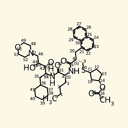 CCCC[C@H](NC(=O)[C@@H](CSC1CCC(OC(C)=O)C1)Cc1cccc2ccccc12)C(=O)N[C@@H](CC1CCCCC1)[C@@H](O)[C@@H](O)CN1CCOCC1